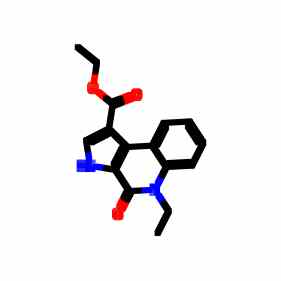 CCOC(=O)c1c[nH]c2c(=O)n(CC)c3ccccc3c12